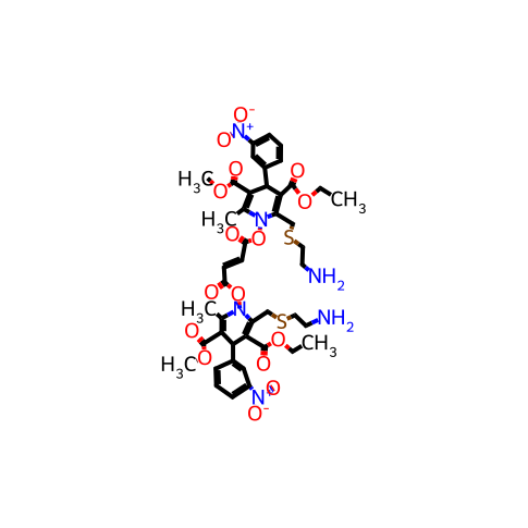 CCOC(=O)C1=C(CSCCN)N(OC(=O)/C=C/C(=O)ON2C(C)=C(C(=O)OC)C(c3cccc([N+](=O)[O-])c3)C(C(=O)OCC)=C2CSCCN)C(C)=C(C(=O)OC)C1c1cccc([N+](=O)[O-])c1